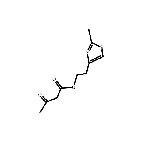 CC(=O)CC(=O)OCCc1csc(C)n1